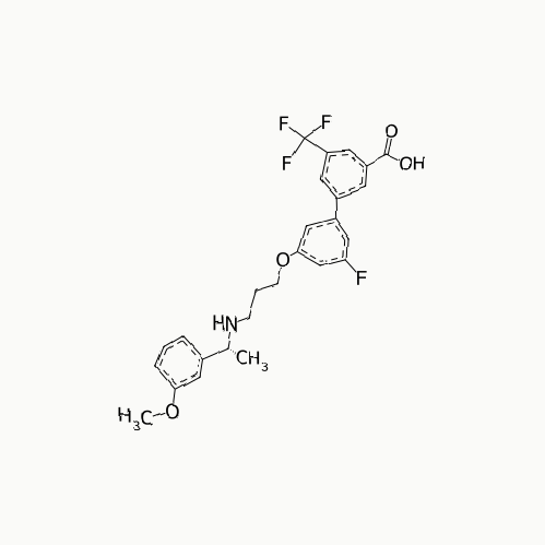 COc1cccc([C@@H](C)NCCCOc2cc(F)cc(-c3cc(C(=O)O)cc(C(F)(F)F)c3)c2)c1